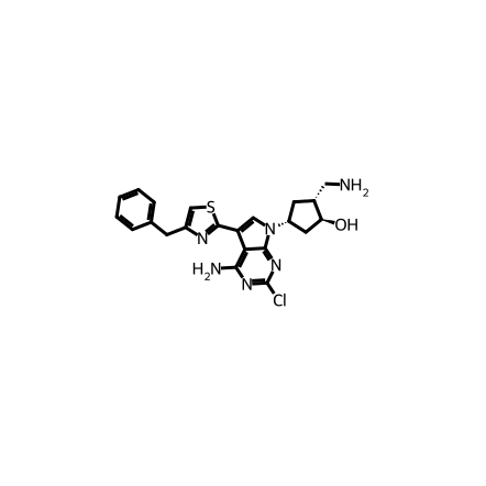 NC[C@H]1C[C@@H](n2cc(-c3nc(Cc4ccccc4)cs3)c3c(N)nc(Cl)nc32)C[C@@H]1O